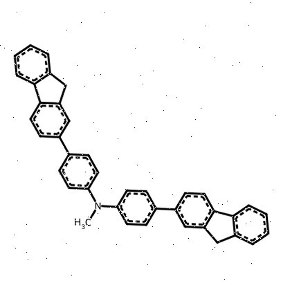 CN(c1ccc(-c2ccc3c(c2)Cc2ccccc2-3)cc1)c1ccc(-c2ccc3c(c2)Cc2ccccc2-3)cc1